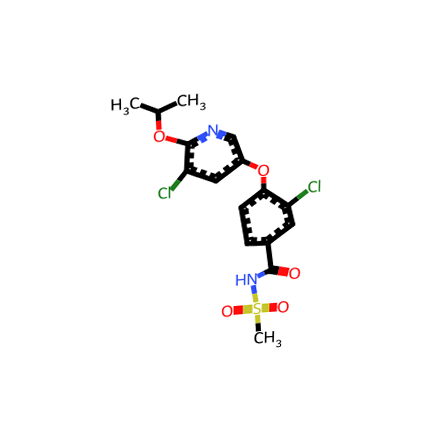 CC(C)Oc1ncc(Oc2ccc(C(=O)NS(C)(=O)=O)cc2Cl)cc1Cl